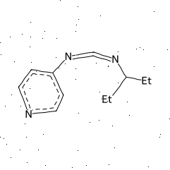 CCC(CC)N=C=Nc1ccncc1